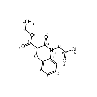 CCOC(=O)C1Oc2ccccc2N(CC(=O)O)C1=O